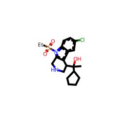 CCS(=O)(=O)n1c2c(c3cc(Cl)ccc31)C(C(C)(O)C1CCCC1)CNC2